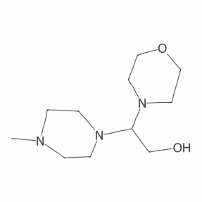 CN1CCN(C(CO)N2CCOCC2)CC1